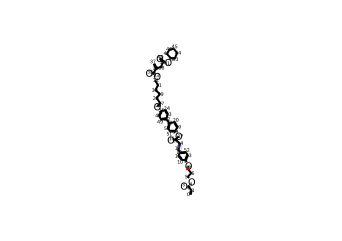 C=CC(=O)OCCCOc1ccc(/C=C/C(=O)Oc2ccc(-c3ccc(OCCCCCCOC(=O)C(=C)CC(=O)OC4CCCCC4)cc3)cc2)cc1